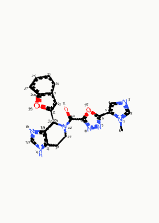 Cn1cncc1-c1nnc(C(=O)N2CCc3[nH]cnc3[C@H]2c2cc3ccccc3o2)o1